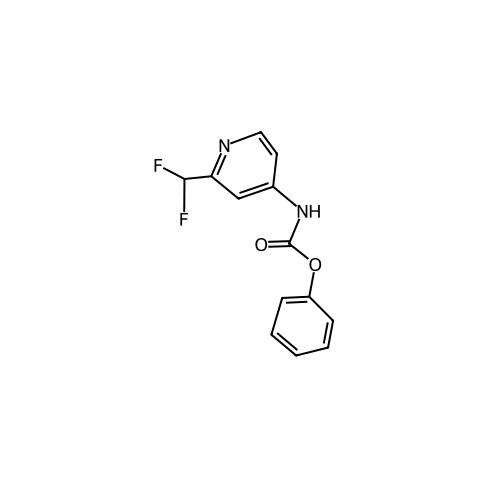 O=C(Nc1ccnc(C(F)F)c1)Oc1ccccc1